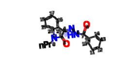 CCCN1C(=O)/C(=N\NC(=O)c2ccccc2)c2ccccc21